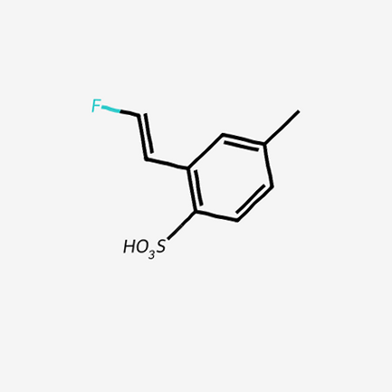 Cc1ccc(S(=O)(=O)O)c(/C=C/F)c1